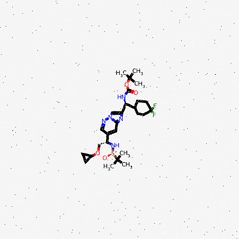 CC(C)(C)OC(=O)N[C@H](c1cn2ncc([C@@H](COC3CC3)N[S@+]([O-])C(C)(C)C)cc2n1)C1CCC(F)(F)CC1